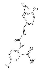 Cc1ccc(NC(=O)/C=C/c2ccc(O)c(C)c2)c(C(=O)O)c1